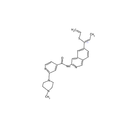 C=CS/C(=C\C)c1ccc2cnc(NC(=O)c3ccnc(N4CCN(C)CC4)c3)cc2c1